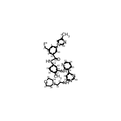 Cc1cn(-c2cc(CF)cc(C(=O)Nc3ccc(C)c(Nc4ncccc4-c4cc(NCCN5CCOCC5)ncn4)c3)c2)cn1